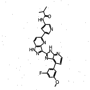 COc1cc(F)cc(-c2ccnc3[nH]c(-c4n[nH]c5ccc(-c6cncc(NC(=O)C(C)C)c6)nc45)nc23)c1